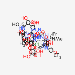 CN[C@H](CC(C)C)C(=O)N[C@H]1C(=O)N[C@@H](CC(N)=O)C(=O)N[C@H]2C(=O)N[C@H]3C(=O)N[C@H](C(=O)N[C@@H](C(=O)O)c4cc(O)cc(O)c4-c4cc3ccc4O)[C@H](O)c3ccc(c(Cl)c3)Oc3cc2cc(c3O[C@@H]2O[C@H](CO)[C@@H](O)[C@H](O)[C@H]2OC2C[C@](C)(NCCC3CCN(C(=O)Nc4ccc(OC(F)(F)F)cc4)CC3)[C@H](O)[C@H](C)O2)Oc2ccc(cc2Cl)[C@H]1O